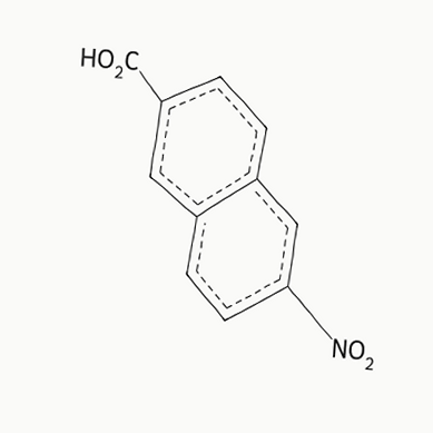 O=C(O)c1ccc2cc([N+](=O)[O-])ccc2c1